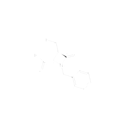 C[C@@H](F)[C@H]1C(=O)N(Cc2ccccc2)[C@@H]1C(=O)O